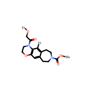 CCOCC(=O)N1CCOc2cc3c(c(CC)c21)CCN(C(=O)OC(C)(C)C)CC3